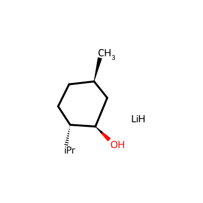 CC(C)[C@@H]1CC[C@@H](C)C[C@H]1O.[LiH]